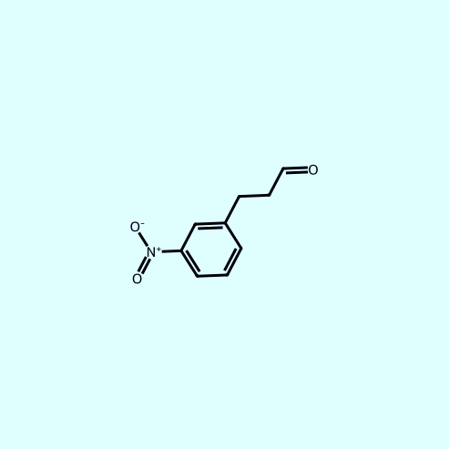 O=CCCc1cccc([N+](=O)[O-])c1